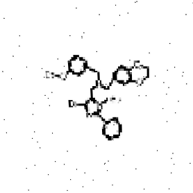 CCCCn1c(-c2ccccc2)nc(Br)c1CN(Cc1cccc(OCC)c1)Cc1ccc2c(c1)OCCO2